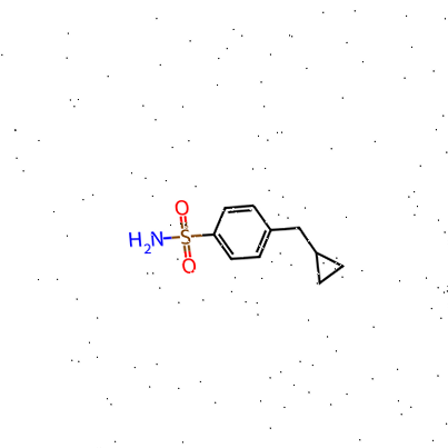 NS(=O)(=O)c1ccc(CC2CC2)cc1